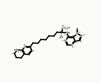 CC[C@@](CCCCCCCc1ccc2c(n1)NCCC2)(Nc1ncnc2cnn(C)c12)C(=O)O